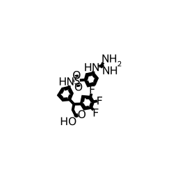 N=C(N)Nc1cccc(S(=O)(=O)Nc2cccc(C(CC(=O)O)c3cc(F)c(F)c(F)c3)c2)c1